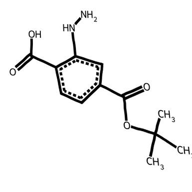 CC(C)(C)OC(=O)c1ccc(C(=O)O)c(NN)c1